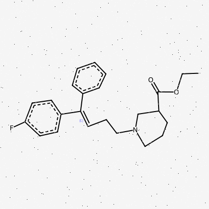 CCOC(=O)C1CCCN(CC/C=C(\c2ccccc2)c2ccc(F)cc2)C1